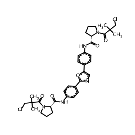 CC(C)(CCl)C(=O)N1CCC[C@H]1C(=O)Nc1ccc(-c2cnc(-c3ccc(NC(=O)[C@@H]4CCCN4C(=O)C(C)(C)CCl)cc3)o2)cc1